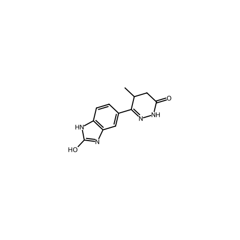 CC1CC(=O)NN=C1c1ccc2[nH]c(O)nc2c1